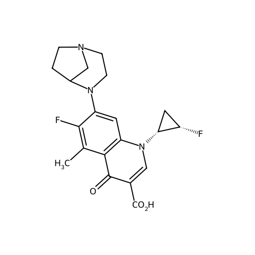 Cc1c(F)c(N2CCN3CCC2C3)cc2c1c(=O)c(C(=O)O)cn2[C@@H]1C[C@@H]1F